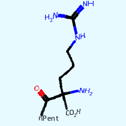 CCCCCC(=O)C(N)(CCCNC(=N)N)C(=O)O